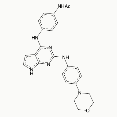 CC(=O)Nc1ccc(Nc2nc(Nc3ccc(N4CCOCC4)cc3)nc3[nH]ccc23)cc1